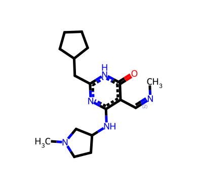 C/N=C\c1c(NC2CCN(C)C2)nc(CC2CCCC2)[nH]c1=O